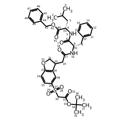 CC(C)C[C@H](NC(=O)[C@H](Cc1ccccc1)NC(=O)CC1COc2ccc(S(=O)(=O)CC(=O)OC(C)(C)C)cc21)C(=O)OCc1ccccc1